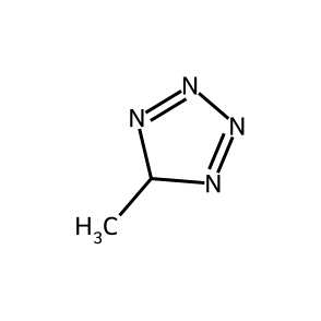 CC1N=NN=N1